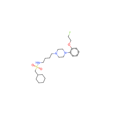 O=S(=O)(CC1CCCCC1)NCCCCN1CCN(c2ccccc2OCCF)CC1